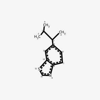 CC(C)C(C)c1ccc2ncsc2c1